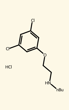 CCCCNCCOc1cc(Cl)cc(Cl)c1.Cl